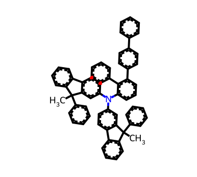 CC1(c2ccccc2)c2ccccc2-c2ccc(N(c3ccc4c(c3)C(C)(c3ccccc3)c3ccccc3-4)c3cccc(-c4ccc(-c5ccccc5)cc4)c3-c3ccccc3)cc21